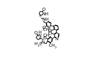 COc1cc(-c2nccc(-c3cccc(-c4ccc(CNC[C@@H]5CCC(=O)N5)c(OC)n4)c3Cl)c2Cl)cc(C)c1CN(C)C[C@H]1CCC(=O)N1